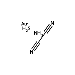 N.N#CC#N.S.[Au]